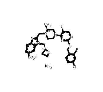 C[C@H]1CN(c2nc(OCc3ccc(Cl)cc3F)ncc2F)CCN1Cc1nc2ccc(C(=O)O)cc2n1C[C@@H]1CCO1.N